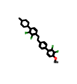 CCCCOc1ccc(-c2ccc(CCc3ccc(C4CCC(C)CC4)c(F)c3F)cc2)c(F)c1F